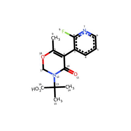 CC1=C(c2cccnc2F)C(=O)N(C(C)(C)C(=O)O)CO1